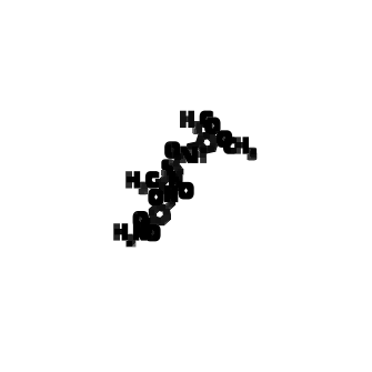 COc1ccc(CNC(=O)c2cn3c(=O)n(Cc4ccc(S(N)(=O)=O)cc4)c(=O)c(C)c3s2)cc1OC